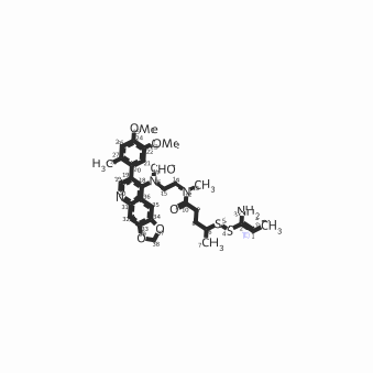 C/C=C(\N)SSC(C)CCC(=O)N(C)CCN(C=O)c1c(-c2cc(OC)c(OC)cc2C)cnc2cc3c(cc12)OCO3